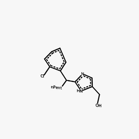 CCCCCC(c1ncc(CO)[nH]1)c1ccccc1Cl